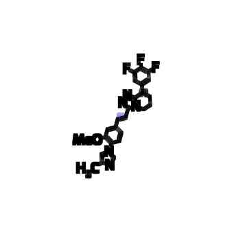 COc1cc(/C=C/c2nnc3n2CCC[C@@H]3c2cc(F)c(F)c(F)c2)ccc1-n1cnc(C)c1